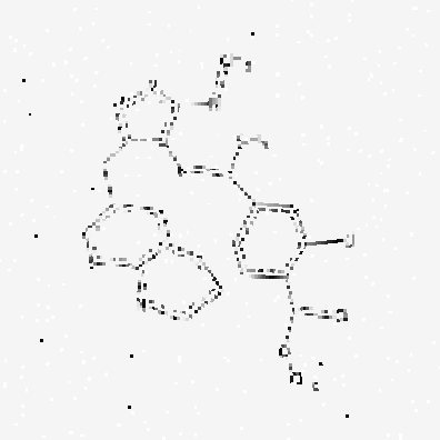 C=Nc1ncc(Cc2ccc3ncccc3c2)n1/N=C(\C)c1ccc(C(=O)OC)c(Cl)c1